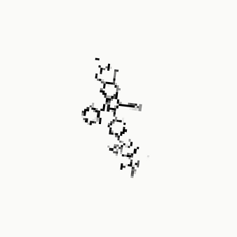 C[C@H](NS(=O)(=O)c1ccc(-c2c(C#N)c3cc(F)c(OC(F)F)cc3n2-c2ncccn2)nc1)C(F)(F)F